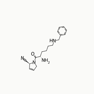 N#C[C@@H]1C=CCN1C(=O)[C@@H](N)CCCCNCc1ccccc1